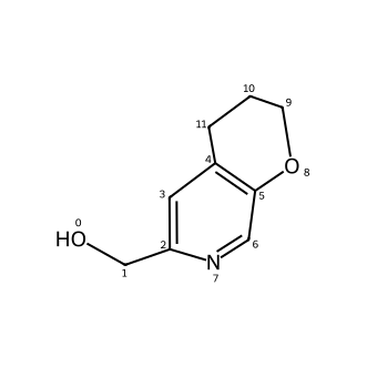 OCc1cc2c(cn1)OCCC2